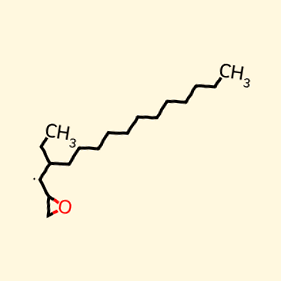 CCCCCCCCCCCCC([CH]C1CO1)CC